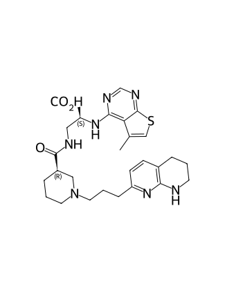 Cc1csc2ncnc(N[C@@H](CNC(=O)[C@@H]3CCCN(CCCc4ccc5c(n4)NCCC5)C3)C(=O)O)c12